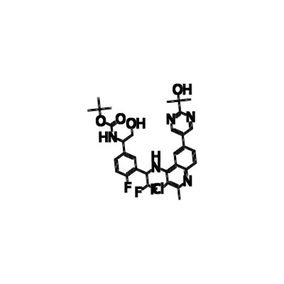 Cc1nc2ccc(-c3cnc(C(C)(C)O)nc3)cc2c(NC(c2cc(C(CO)NC(=O)OC(C)(C)C)ccc2F)C(F)F)c1Cl